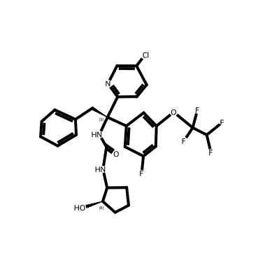 O=C(NC1CCC[C@H]1O)N[C@@](Cc1ccccc1)(c1cc(F)cc(OC(F)(F)C(F)F)c1)c1ccc(Cl)cn1